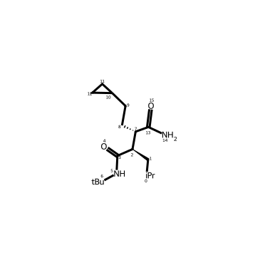 CC(C)C[C@@H](C(=O)NC(C)(C)C)[C@H](CCC1CC1)C(N)=O